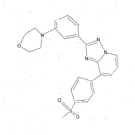 CS(=O)(=O)c1ccc(-c2cccn3nc(-c4[c]ccc(N5CCOCC5)c4)nc23)cc1